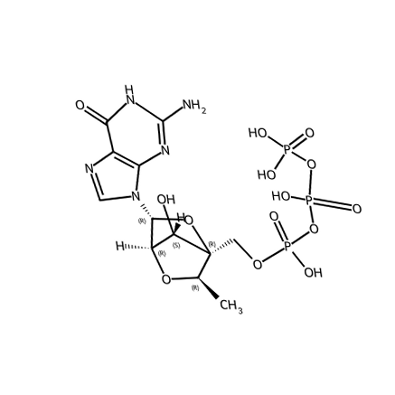 C[C@H]1O[C@H]2[C@H](n3cnc4c(=O)[nH]c(N)nc43)O[C@]1(COP(=O)(O)OP(=O)(O)OP(=O)(O)O)[C@H]2O